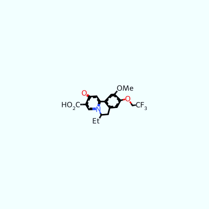 CCC1Cc2cc(OCC(F)(F)F)c(OC)cc2-c2cc(=O)c(C(=O)O)cn21